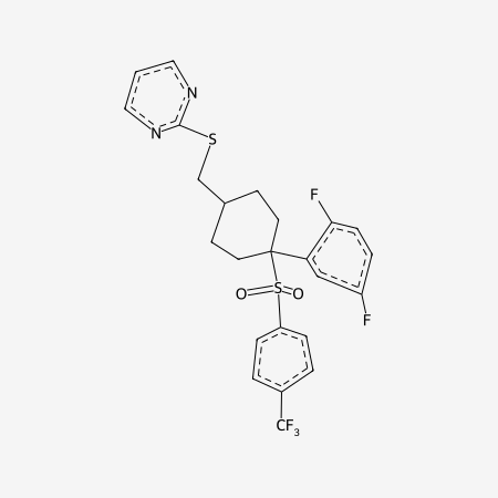 O=S(=O)(c1ccc(C(F)(F)F)cc1)C1(c2cc(F)ccc2F)CCC(CSc2ncccn2)CC1